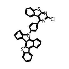 Clc1nc(-c2ccc(-n3c4ccccc4c4c5sc6ccccc6c5c5ccccc5c43)cc2)c2c(n1)sc1ccccc12